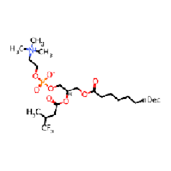 CCCCCCCCCCCCCCCC(=O)OC[C@H](COP(=O)([O-])OCC[N+](C)(C)C)OC(=O)CC(C)C(F)(F)F